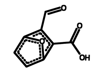 O=Cc1c(C(=O)O)c2ccc1o2